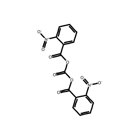 O=C(OC(=O)c1ccccc1[N+](=O)[O-])OC(=O)c1ccccc1[N+](=O)[O-]